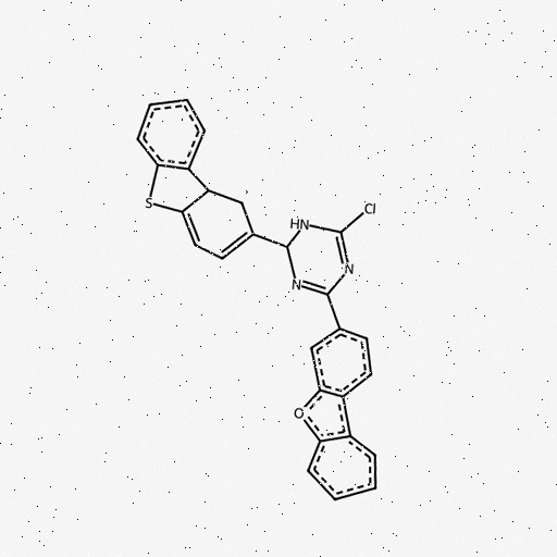 ClC1=NC(c2ccc3c(c2)oc2ccccc23)=NC(C2=CC=C3Sc4ccccc4C3C2)N1